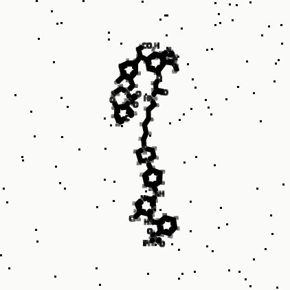 Cc1ccc(C(CC(=O)O)c2cc(OCC(=O)NCCCCCCN3CCN(c4ccc(Nc5ncc(Cl)c(Nc6ccccc6S(=O)(=O)C(C)C)n5)cc4)CC3)c3c(c2)nnn3C)cc1CN1CSOc2ccccc2S1(=O)=O